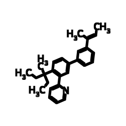 C/C=C(\C)c1cccc(-c2ccc(C(C)(CC)CC)c(-c3ccccn3)c2)c1